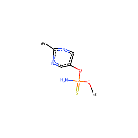 CCOP(N)(=S)Oc1cnc(C(C)C)nc1